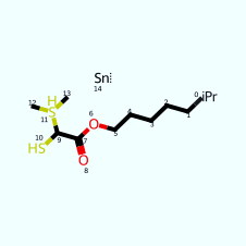 CC(C)CCCCCOC(=O)C(S)[SH](C)C.[Sn]